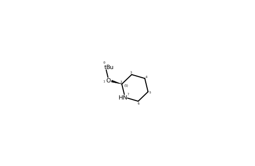 CC(C)(C)O[C@H]1CCCCN1